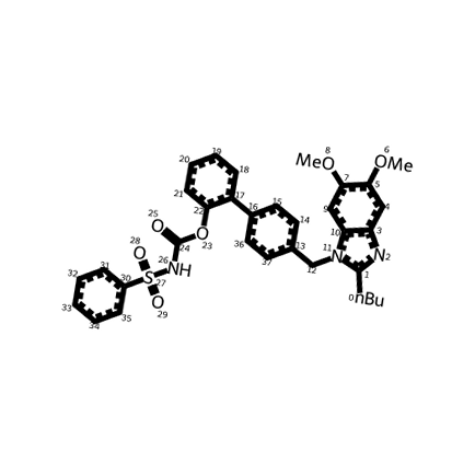 CCCCc1nc2cc(OC)c(OC)cc2n1Cc1ccc(-c2ccccc2OC(=O)NS(=O)(=O)c2ccccc2)cc1